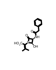 CC(C)=C(C(=O)O)N1C(=O)[C@@H](NC(=O)Cc2ccccc2)[C@H]1O